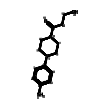 Nc1ccc(N2CCN(C(=O)CCO)CC2)cc1